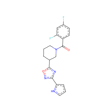 O=C(c1ccc(F)cc1F)N1CCCC(c2nc(-c3ccc[nH]3)no2)C1